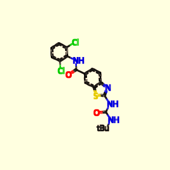 CC(C)(C)NC(=O)Nc1nc2ccc(C(=O)Nc3c(Cl)cccc3Cl)cc2s1